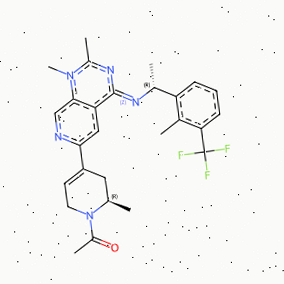 CC(=O)N1CC=C(c2cc3/c(=N/[C@H](C)c4cccc(C(F)(F)F)c4C)nc(C)n(C)c3cn2)C[C@H]1C